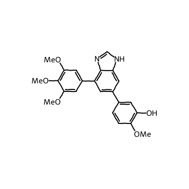 COc1ccc(-c2cc(-c3cc(OC)c(OC)c(OC)c3)c3nc[nH]c3c2)cc1O